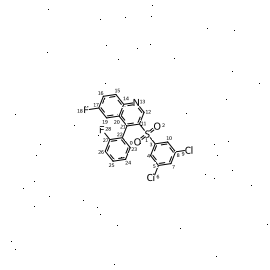 O=S(=O)(c1cc(Cl)cc(Cl)c1)c1cnc2ccc(F)cc2c1-c1ccccc1F